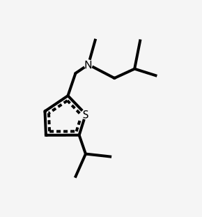 CC(C)CN(C)Cc1ccc(C(C)C)s1